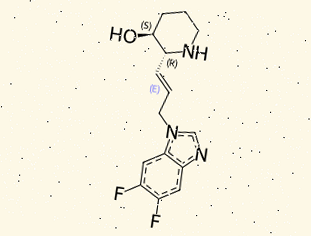 O[C@H]1CCCN[C@@H]1/C=C/Cn1cnc2cc(F)c(F)cc21